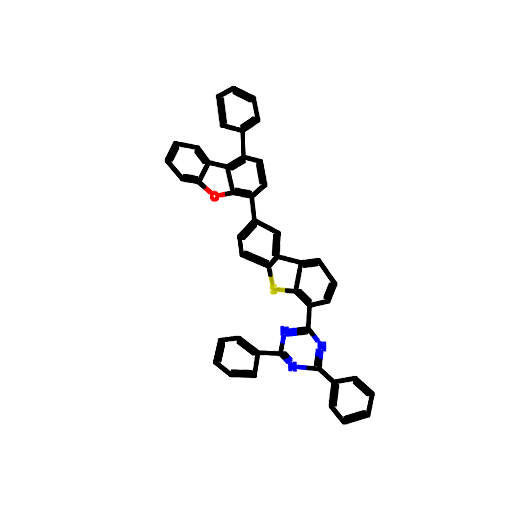 c1ccc(-c2nc(-c3ccccc3)nc(-c3cccc4c3sc3ccc(-c5ccc(-c6ccccc6)c6c5oc5ccccc56)cc34)n2)cc1